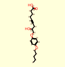 CCCCCOc1ccc(OCC(O)CC#CCCCC(=O)O)cc1